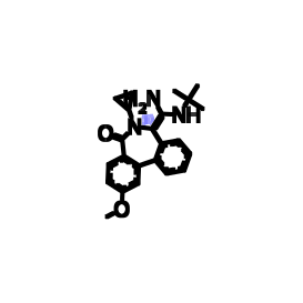 COc1ccc2c(c1)-c1ccccc1/C(=C(/N)NC(C)(C)C)N(C1CC1)C2=O